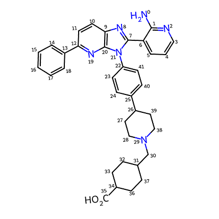 Nc1ncccc1-c1nc2ccc(-c3ccccc3)nc2n1-c1ccc(C2CCN(CC3CCC(C(=O)O)CC3)CC2)cc1